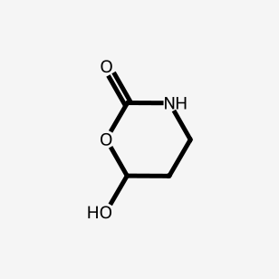 O=C1NCCC(O)O1